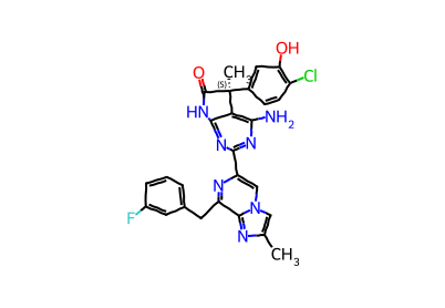 Cc1cn2cc(-c3nc(N)c4c(n3)NC(=O)[C@@]4(C)c3ccc(Cl)c(O)c3)nc(Cc3cccc(F)c3)c2n1